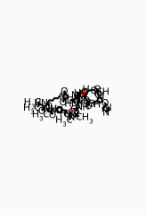 CC(C)[C@H](NC(=O)CCCCCN1C(=O)C=CC1=O)C(=O)N[C@@H](C)C(=O)Nc1ccc(COC(=O)N(C)CC(C)(C)CC(=O)Nc2nc3c(ncn3[C@@H]3O[C@@H]4CO[P@@](=O)(S)O[C@H]5C[C@H](Oc6ccncn6)C[C@@H]5CO[P@@](=O)(S)O[C@@H]3[C@@H]4O)c(=O)[nH]2)cc1